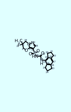 CC1(F)COc2c(S(=O)(=O)NC(=O)Nc3c4c(cc5c3CCC5)CCC4)cnn2C1